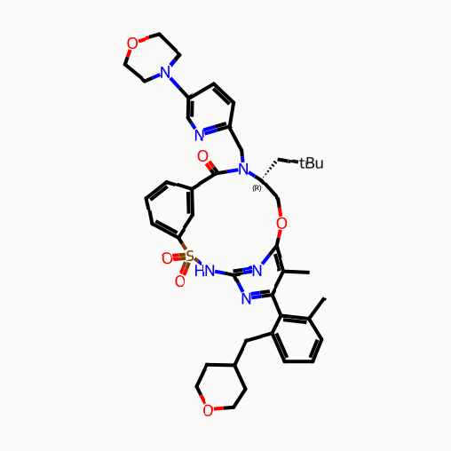 Cc1cccc(CC2CCOCC2)c1-c1nc2nc(c1C)OC[C@@H](CC(C)(C)C)N(Cc1ccc(N3CCOCC3)cn1)C(=O)c1cccc(c1)S(=O)(=O)N2